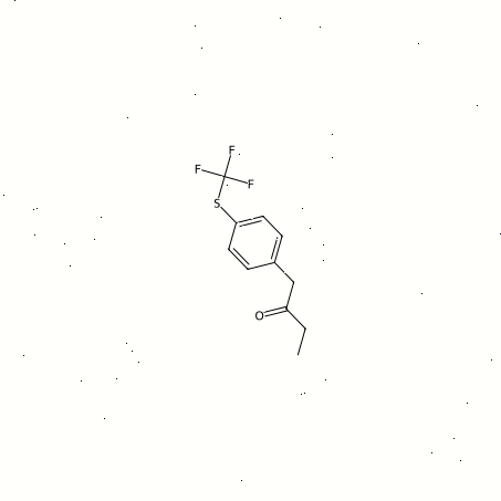 CCC(=O)Cc1ccc(SC(F)(F)F)cc1